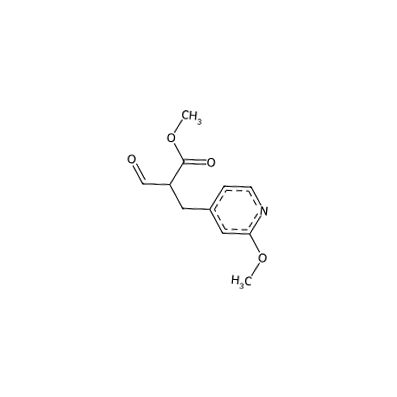 COC(=O)C(C=O)Cc1ccnc(OC)c1